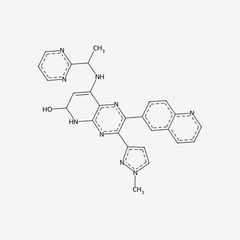 CC(NC1=CC(O)Nc2nc(-c3ccn(C)n3)c(-c3ccc4ncccc4c3)nc21)c1ncccn1